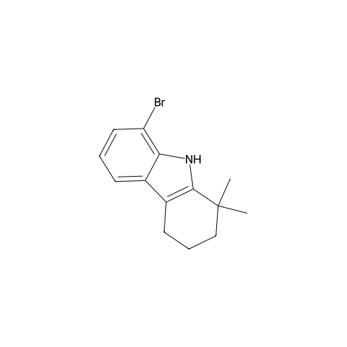 CC1(C)CCCc2c1[nH]c1c(Br)cccc21